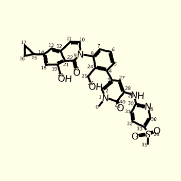 Cn1cc(-c2cccc(-n3ccc4cc(C5CC5)cc(O)c4c3=O)c2CO)cc(Nc2ccc(S(C)(=O)=O)cn2)c1=O